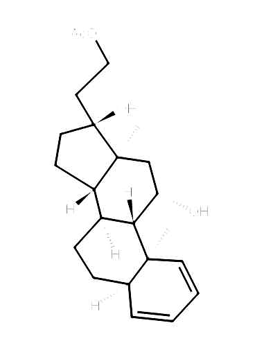 CC(=O)OCC[C@@]1(O)CC[C@H]2[C@@H]3CC[C@@H]4C=CC=C[C@]4(C)[C@H]3[C@@H](O)C[C@@]21C